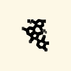 CC1CNCC(C)C1c1cc(F)cc2c1C(=O)N(C1CCC(=O)NC1=O)C2=O